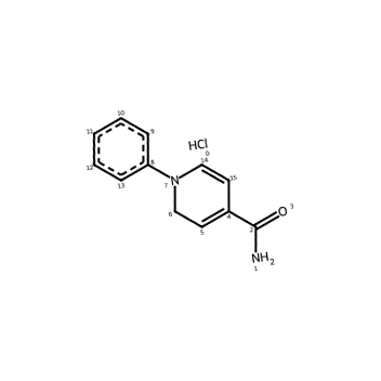 Cl.NC(=O)C1=CCN(c2ccccc2)C=C1